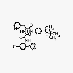 CC(C)(C)OC(=O)c1ccc(NC(=O)C(Cc2cccnc2)NC(=O)C(=O)Nc2cc(Cl)ccc2-n2cnnn2)cc1